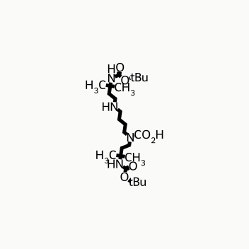 CC(C)(CCNCCCCN(CCC(C)(C)NC(=O)OC(C)(C)C)C(=O)O)NC(=O)OC(C)(C)C